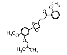 COc1ccc(-c2nc(CCC(=O)c3ccccc3OC)co2)cc1OCC(C)C